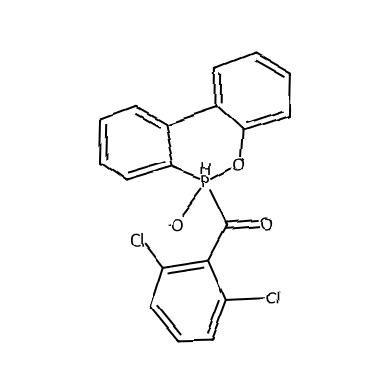 [O][PH]1(C(=O)c2c(Cl)cccc2Cl)Oc2ccccc2-c2ccccc21